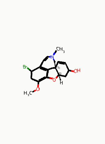 COC1=C2O[C@H]3CC(O)C=C[C@]34CN(C)C=CC(=C24)C(Br)C1